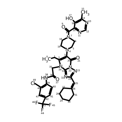 CCc1c(N2CCN(C(=O)c3ncnc(C)c3O)CC2)c(=O)n2nc(C=C3CCCCC3)nc2n1CC(=O)Nc1ccc(C(F)(F)F)cc1Cl